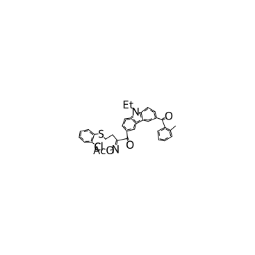 CCn1c2ccc(C(=O)/C(CCSc3ccccc3Cl)=N/OC(C)=O)cc2c2cc(C(=O)c3ccccc3C)ccc21